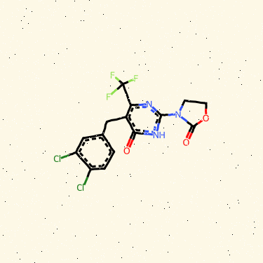 O=C1OCCN1c1nc(C(F)(F)F)c(Cc2ccc(Cl)c(Cl)c2)c(=O)[nH]1